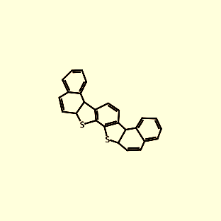 C1=CC2Sc3c(ccc4c3SC3C=Cc5ccccc5C43)C2c2ccccc21